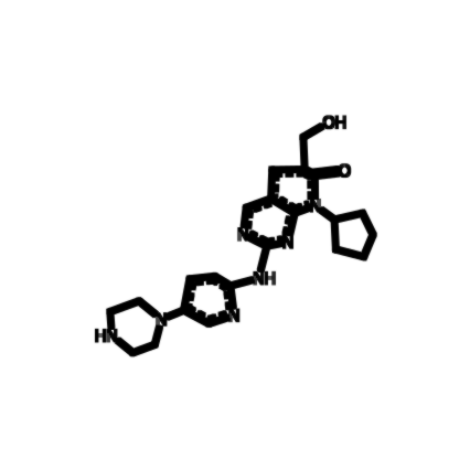 O=c1c(CO)cc2cnc(Nc3ccc(N4CCNCC4)cn3)nc2n1C1CCCC1